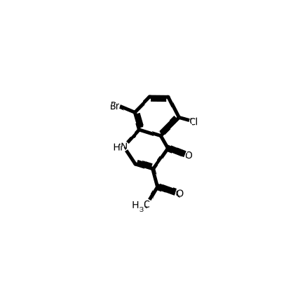 CC(=O)c1c[nH]c2c(Br)ccc(Cl)c2c1=O